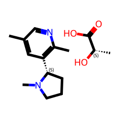 C[C@H](O)C(=O)O.Cc1cnc(C)c([C@@H]2CCCN2C)c1